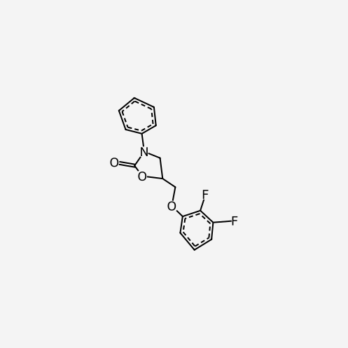 O=C1OC(COc2cccc(F)c2F)CN1c1ccccc1